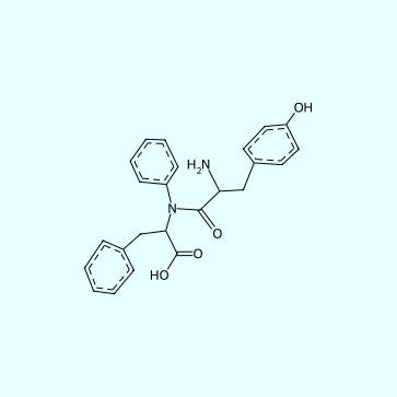 NC(Cc1ccc(O)cc1)C(=O)N(c1ccccc1)C(Cc1ccccc1)C(=O)O